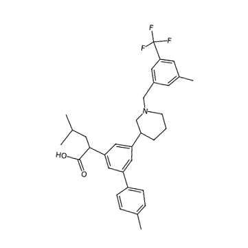 Cc1ccc(-c2cc(C3CCCN(Cc4cc(C)cc(C(F)(F)F)c4)C3)cc(C(CC(C)C)C(=O)O)c2)cc1